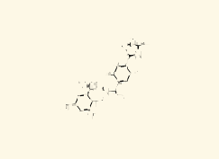 CON(Cc1c(Cl)cc(Cl)cc1Cl)C(=O)c1ccc(-c2noc(C(F)(F)F)n2)cc1F